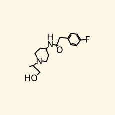 CC(CO)N1CCC(NC(=O)Cc2ccc(F)cc2)CC1